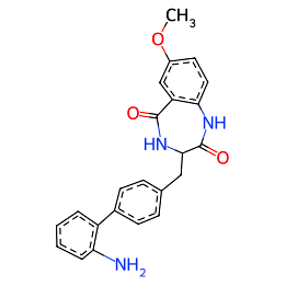 COc1ccc2c(c1)C(=O)NC(Cc1ccc(-c3ccccc3N)cc1)C(=O)N2